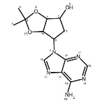 CC1(C)OC2C(O)CC(n3cnc4c(N)ncnc43)C2O1